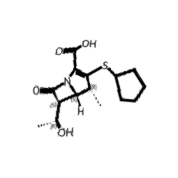 C[C@@H](O)[C@H]1C(=O)N2C(C(=O)O)=C(SC3CCCC3)[C@H](C)[C@H]12